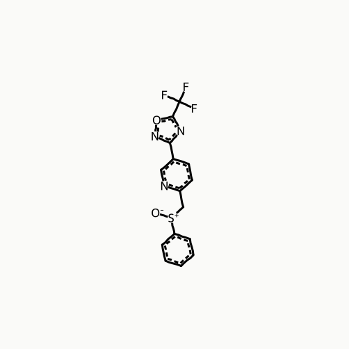 [O-][S+](Cc1ccc(-c2noc(C(F)(F)F)n2)cn1)c1ccccc1